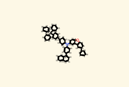 c1ccc(-c2ccc3oc4ccc(N(c5ccc(-c6ccc([Si](c7ccccc7)(c7ccccc7)c7ccccc7)cc6)cc5)c5ccc(-c6cccc7ccccc67)cc5)cc4c3c2)cc1